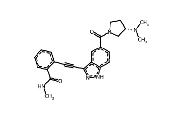 CNC(=O)c1ccccc1C#Cc1n[nH]c2ccc(C(=O)N3CC[C@H](N(C)C)C3)cc12